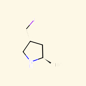 O=C[C@@H]1C[C@@H](CI)CN1